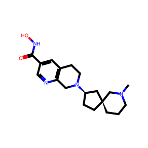 CN1CCC[C@]2(CC[C@@H](N3CCc4cc(C(=O)NO)cnc4C3)C2)C1